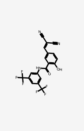 N#CC(C#N)=Cc1ccc(O)c(C(=O)Nc2cc(C(F)(F)F)cc(C(F)(F)F)c2)c1